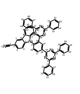 N#Cc1ccc2c(c1)c1ccccc1n2-c1ccc(-c2nc(-c3ccccc3)nc(-c3ccccc3)n2)cc1-c1nc(-c2ccccc2)nc(-c2ccccc2)n1